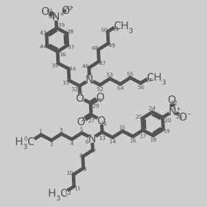 CCCCCCN(CCCCCC)C(CCCc1ccc([N+](=O)[O-])cc1)OC(=O)C(=O)OC(CCCc1ccc([N+](=O)[O-])cc1)N(CCCCCC)CCCCCC